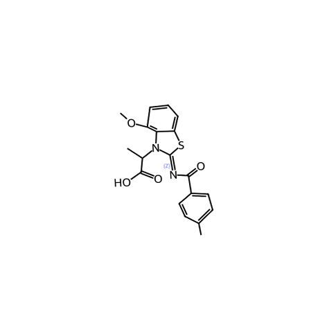 COc1cccc2s/c(=N\C(=O)c3ccc(C)cc3)n(C(C)C(=O)O)c12